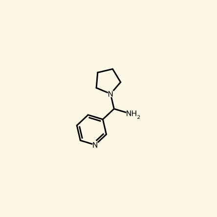 NC(c1cccnc1)N1CCCC1